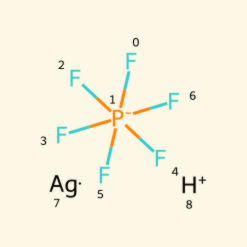 F[P-](F)(F)(F)(F)F.[Ag].[H+]